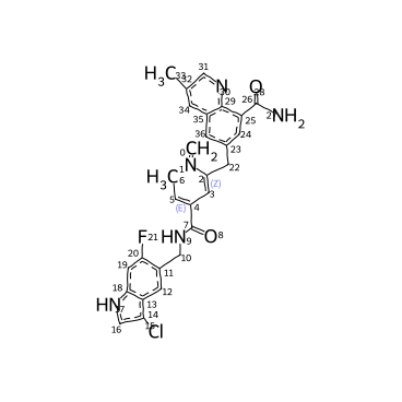 C=N/C(=C\C(=C/C)C(=O)NCc1cc2c(Cl)c[nH]c2cc1F)Cc1cc(C(N)=O)c2ncc(C)cc2c1